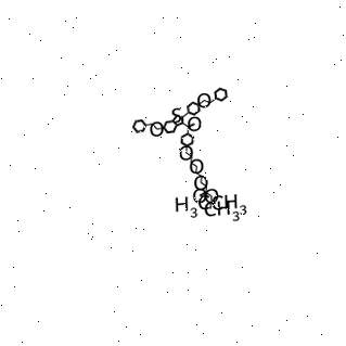 CC(C)(C)OC(=O)COCCOCCOc1ccc(C(=O)c2c(-c3ccc(OCc4ccccc4)cc3)sc3cc(OCc4ccccc4)ccc23)cc1